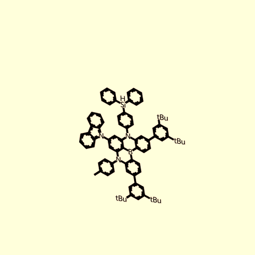 Cc1ccc(N2c3cc(-c4cc(C(C)(C)C)cc(C(C)(C)C)c4)ccc3B3c4ccc(-c5cc(C(C)(C)C)cc(C(C)(C)C)c5)cc4N(c4ccc([SiH](c5ccccc5)c5ccccc5)cc4)c4cc(-n5c6ccccc6c6ccccc65)cc2c43)cc1